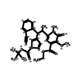 CCOC(=O)c1nc(C(C)C(c2cnn(C(=O)OC(C)(C)C)c2)c2ccccc2C#N)n(C)c(=O)c1OC